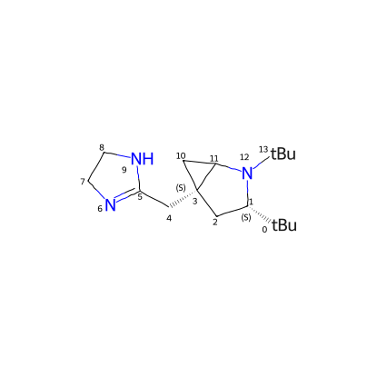 CC(C)(C)[C@@H]1C[C@@]2(CC3=NCCN3)CC2N1C(C)(C)C